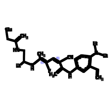 C=Cc1cc(NC(=C)/C(C#N)=C\C(F)=C(/C)NC(CC)CNC(=C)CC(C)(C)C)ccc1N(CC)CC